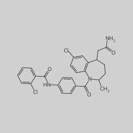 CC1CCC(CC(N)=O)c2cc(Cl)ccc2N1C(=O)c1ccc(NC(=O)c2ccccc2Cl)cc1